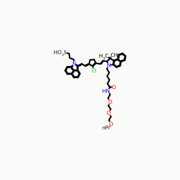 CCCOCCOCCOCCNC(=O)CCCCCN1c2ccc3ccccc3c2C(C)(C)C1/C=C/C1=C(Cl)C(=C/C=c2\c3cccc4cccc(c43)n2CCCS(=O)(=O)O)/CC1